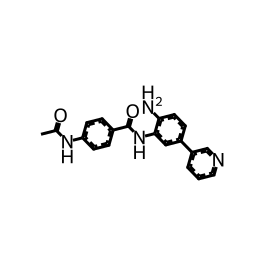 CC(=O)Nc1ccc(C(=O)Nc2cc(-c3cccnc3)ccc2N)cc1